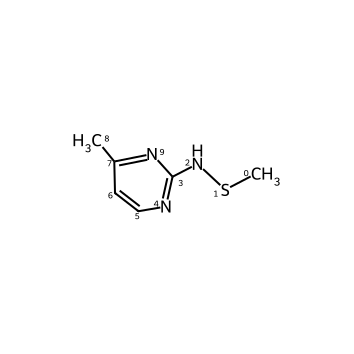 CSNc1nccc(C)n1